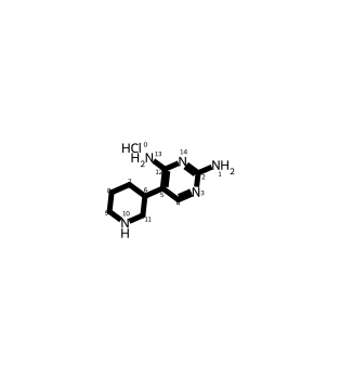 Cl.Nc1ncc(C2CCCNC2)c(N)n1